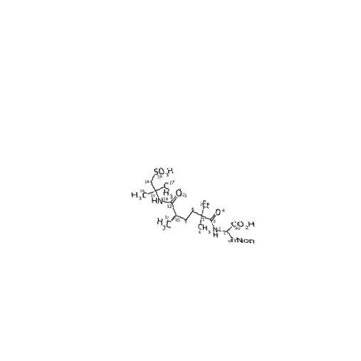 CCCCCCCCCC(NC(=O)C(C)(CC)CCC(C)C(=O)NC(C)(C)CS(=O)(=O)O)C(=O)O